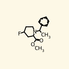 COC(=O)C1CC(F)CCN1C(C)c1ccccc1